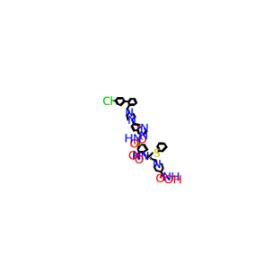 O=C(NO)C1CCN(CC[C@H](CSc2ccccc2)Nc2ccc(S(=O)(=O)Nc3ncnc4cc(N5CCN(Cc6ccccc6-c6ccc(Cl)cc6)CC5)ccc34)cc2[N+](=O)[O-])CC1